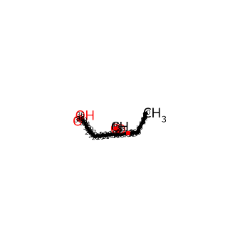 CCCCCCCC/C=C\CCCCCCC(CCCCCCCC/C=C\CCCCCCCC(=O)O)C(=O)OC